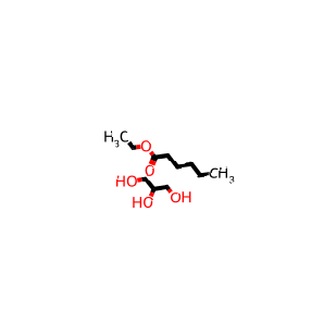 CCCCCC(=O)OCC.OCC(O)CO